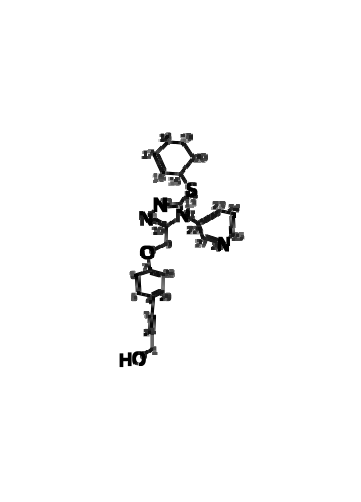 OCC#Cc1ccc(OCc2nnc(SC3C=CCCC3)n2-c2cccnc2)cc1